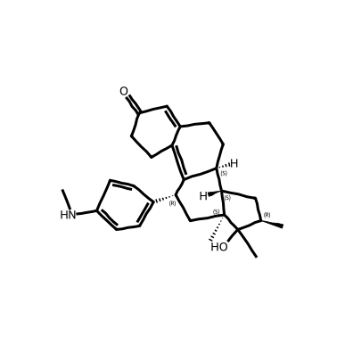 CNc1ccc([C@H]2C[C@@]3(C)[C@@H](C[C@@H](C)C3(C)O)[C@@H]3CCC4=CC(=O)CCC4=C32)cc1